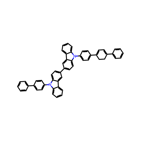 C1=C(c2ccccc2)CCC(c2ccc(-n3c4ccccc4c4cc(-c5ccc6c(c5)c5ccccc5n6-c5ccc(-c6ccccc6)cc5)ccc43)cc2)=C1